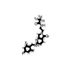 [2H]C([2H])([2H])C(=O)NCCN1Cc2nc(NCc3c(F)cc(F)cc3F)ccc2C1=O